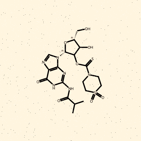 CC(C)C(=O)Nc1nc2c(ncn2[C@@H]2O[C@H](CO)C(O)C2OC(=S)N2CCS(=O)(=O)CC2)c(=O)[nH]1